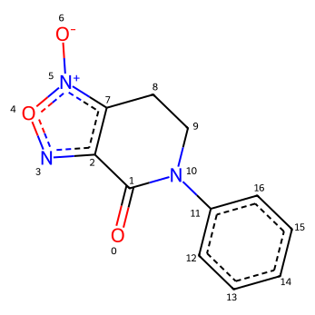 O=C1c2no[n+]([O-])c2CCN1c1ccccc1